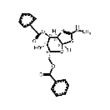 CNC1=N[C@@H]2[C@H](OC(=O)c3ccccc3)[C@@H](O)[C@@H](COC(=O)c3ccccc3)O[C@@H]2S1